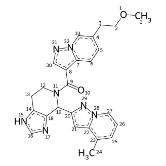 COCCc1ccc2c(C(=O)N3CCc4[nH]cnc4C3c3cc4c(C)cccn4n3)cnn2c1